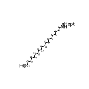 CCCCCCCNCCCCCCCCCCCCCCCCCCCCO